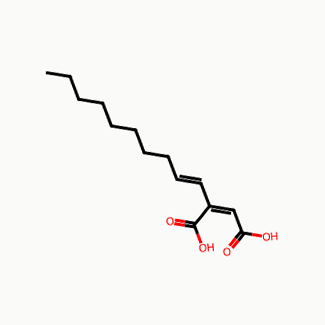 CCCCCCCCC=CC(=CC(=O)O)C(=O)O